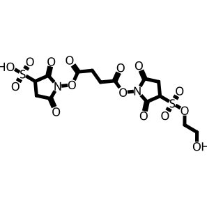 O=C(CCC(=O)ON1C(=O)CC(S(=O)(=O)OCCO)C1=O)ON1C(=O)CC(S(=O)(=O)O)C1=O